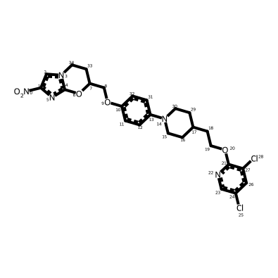 O=[N+]([O-])c1cn2c(n1)OC(COc1ccc(N3CCC(CCOc4ncc(Cl)cc4Cl)CC3)cc1)CC2